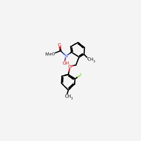 COC(=O)N(O)c1cccc(C)c1COc1ccc(C)cc1F